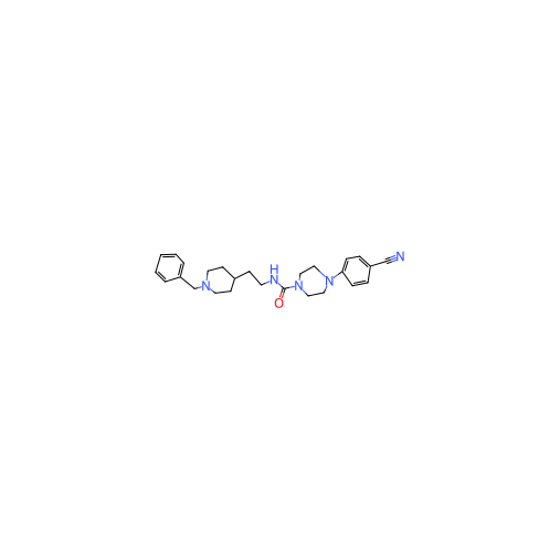 N#Cc1ccc(N2CCN(C(=O)NCCC3CCN(Cc4ccccc4)CC3)CC2)cc1